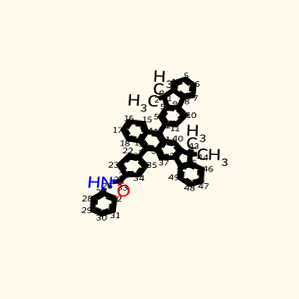 CC1(C)c2ccccc2-c2ccc(-c3c4ccccc4c(-c4ccc(C5Nc6ccccc6O5)cc4)c4cc5c(cc34)C(C)(C)c3ccccc3-5)cc21